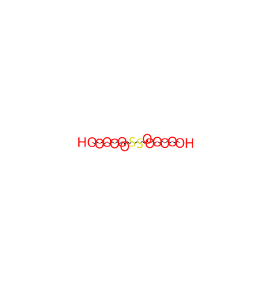 O=C(CCSCCSCCC(=O)OCCOCCOCCOCCO)OCCOCCOCCOCCO